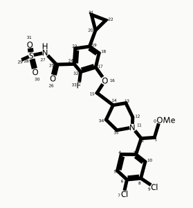 COCC(c1ccc(Cl)c(Cl)c1)N1CCC(COc2cc(C3CC3)cc(C(=O)NS(C)(=O)=O)c2F)CC1